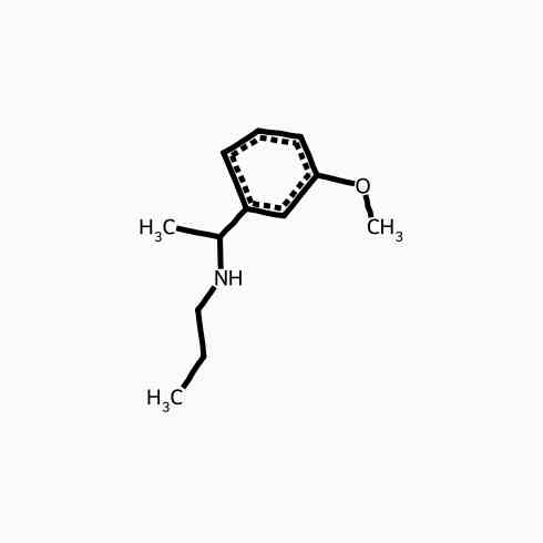 CCCNC(C)c1cccc(OC)c1